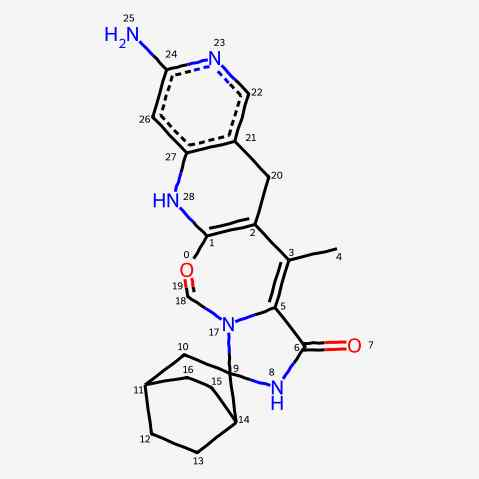 CC1=C(/C(C)=C2/C(=O)NC3(CC4CCC3CC4)N2C=O)Cc2cnc(N)cc2N1